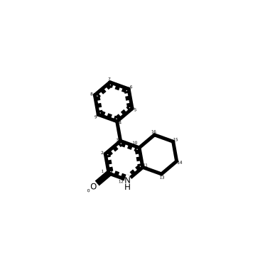 O=c1cc(-c2ccccc2)c2c([nH]1)CCCC2